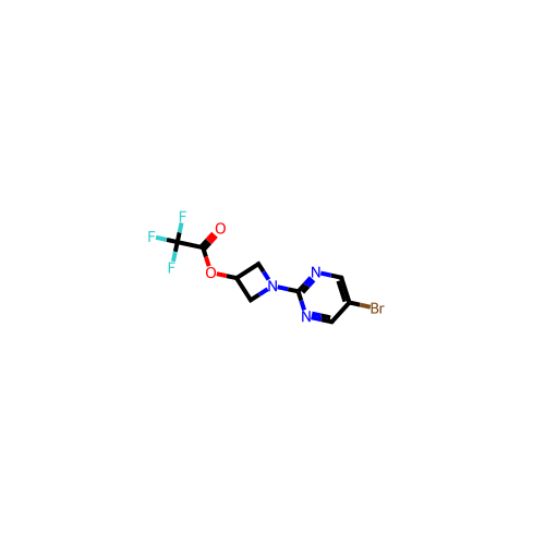 O=C(OC1CN(c2ncc(Br)cn2)C1)C(F)(F)F